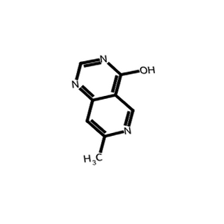 Cc1cc2ncnc(O)c2cn1